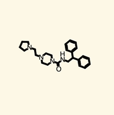 O=C(NCC(c1ccccc1)c1ccccc1)N1CCN(CCN2CCCC2)CC1